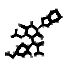 CC(C)C[C@@H]1C(=O)N[C@H](C2Cc3ccccc3C2)C(=O)N1[C@@H](C(=O)N(C)C)c1ccc(CO)cc1F